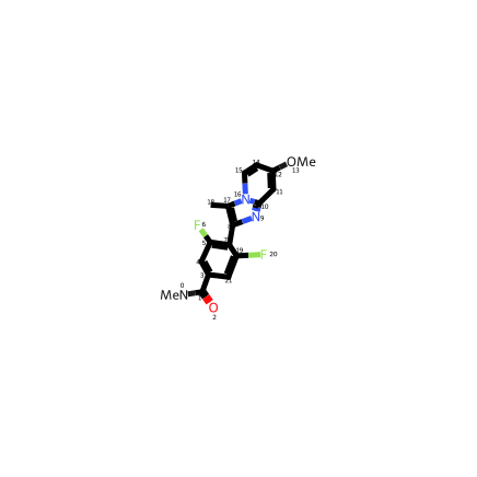 CNC(=O)c1cc(F)c(-c2nc3cc(OC)ccn3c2C)c(F)c1